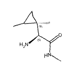 CNC(=O)[C@@H](N)[C@]1(C)CC1C